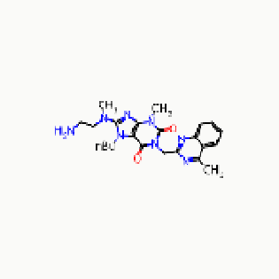 CCCCn1c(N(C)CCN)nc2c1c(=O)n(Cc1nc(C)c3ccccc3n1)c(=O)n2C